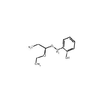 CCOC(CC)O[SiH2]c1ccccc1O